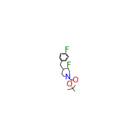 CC(C)(C)OC(=O)N1CCC(Cc2ccc(F)cc2)C(F)C1